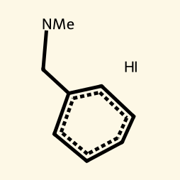 CNCc1ccccc1.I